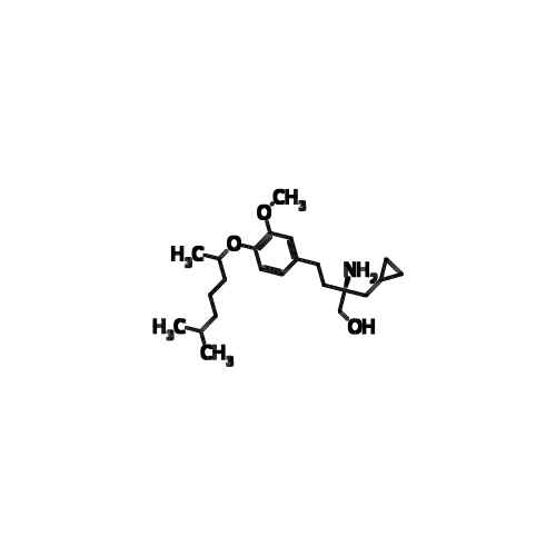 COc1cc(CC[C@@](N)(CO)CC2CC2)ccc1OC(C)CCCC(C)C